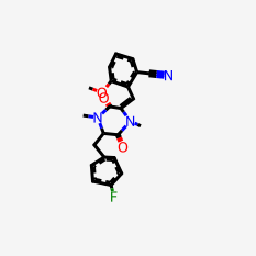 COc1cccc(C#N)c1C=C1C(=O)N(C)C(Cc2ccc(F)cc2)C(=O)N1C